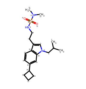 CC(C)Cn1cc(CCNS(=O)(=O)N(C)C)c2ccc(C3CCC3)cc21